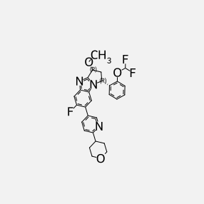 CO[C@@H]1C[C@H](c2ccccc2OC(F)F)n2c1nc1cc(F)c(-c3ccc(C4CCOCC4)nc3)cc12